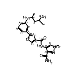 CC(O)CC(C)Nc1cc(-c2nc(C(=O)Nc3cn(C)nc3C(N)=O)co2)ccn1